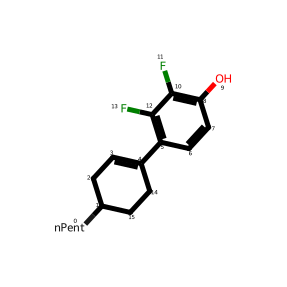 CCCCCC1CC=C(c2ccc(O)c(F)c2F)CC1